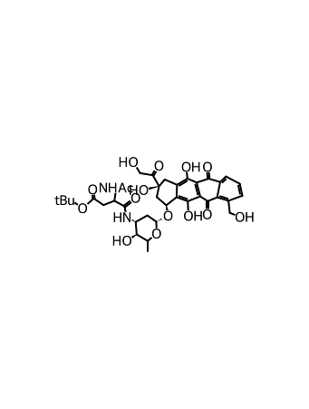 CC(=O)NC(CC(=O)OC(C)(C)C)C(=O)N[C@@H]1C[C@H](O[C@H]2C[C@](O)(C(=O)CO)Cc3c(O)c4c(c(O)c32)C(=O)c2c(CO)cccc2C4=O)OC(C)[C@H]1O